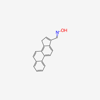 ON=CC1=CCc2c1ccc1c2ccc2ccccc21